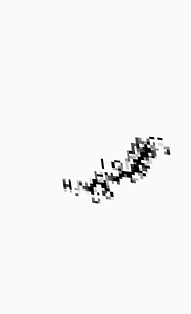 NC(=O)CC(=O)NCC(O)CC(F)(F)C(F)(F)C(F)(F)C(F)(F)C(F)(F)F